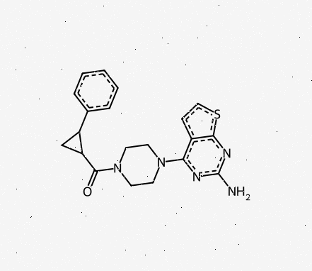 Nc1nc(N2CCN(C(=O)C3CC3c3ccccc3)CC2)c2ccsc2n1